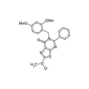 COc1ccc(Cn2c(-c3ccccc3)nc3sc([S+](C)[O-])nc3c2=O)c(OC)c1